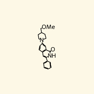 COCC1CCN(c2ccc3cc(-c4ccccc4)[nH]c(=O)c3c2)CC1